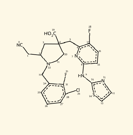 N#CCC1CC(Cc2nc(Nc3nccs3)ccc2F)(C(=O)O)CCN1Cc1cccc(Cl)c1F